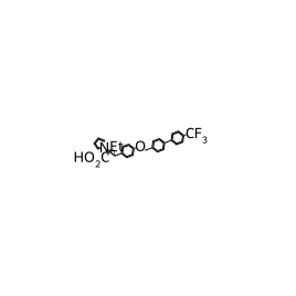 CC[C@@](Cc1ccc(OCc2ccc(-c3ccc(C(F)(F)F)cc3)cc2)cc1)(C(=O)O)n1cccc1